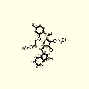 CCOC(=O)C1=C(Nc2ccc(C)cc2OCCOC)OC(=Cc2c[nH]c3ncccc23)C1=O